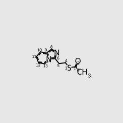 CC(=O)SCCc1ncc2ccccn12